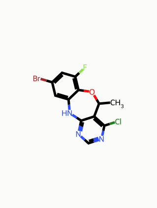 CC1Oc2c(F)cc(Br)cc2Nc2ncnc(Cl)c21